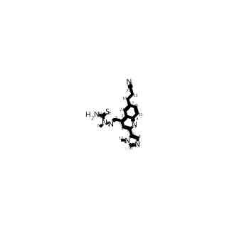 CN(/N=C/c1cc(-c2cncn2C)nc2ccc(CCC#N)cc12)C(N)=S